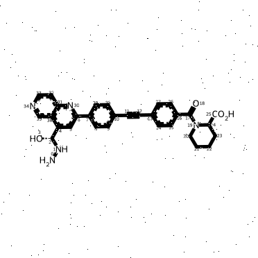 NN[C@H](O)c1cc(-c2ccc(C#Cc3ccc(C(=O)N4CCCCC4C(=O)O)cc3)cc2)nc2ccncc12